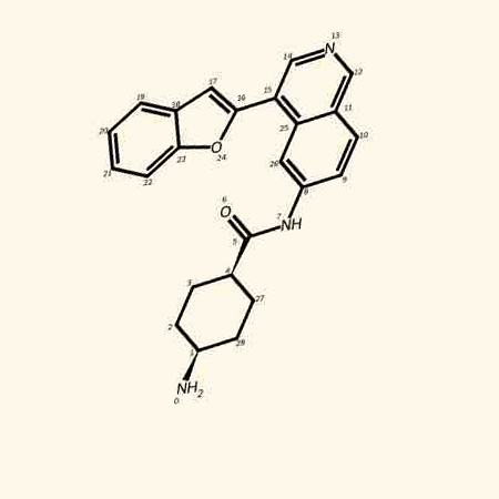 N[C@H]1CC[C@@H](C(=O)Nc2ccc3cncc(-c4cc5ccccc5o4)c3c2)CC1